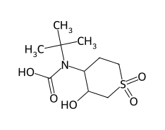 CC(C)(C)N(C(=O)O)C1CCS(=O)(=O)CC1O